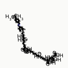 CN(C)c1ccc(/C=C/c2cc[n+](CCCNC(=S)NCCCCC(NC(=O)CCCCCCC(=O)NCCCC[C@H](NC(=O)N[C@@H](CCC(=O)O)C(=O)O)C(=O)O)C(=O)O)cc2)cc1